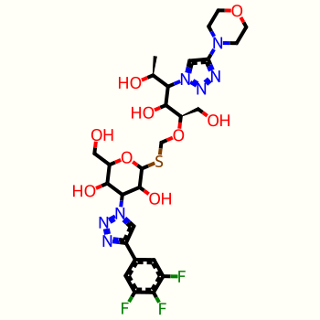 C[C@H](O)C(C(O)[C@@H](CO)OCSC1OC(CO)C(O)C(n2cc(-c3cc(F)c(F)c(F)c3)nn2)C1O)n1cc(N2CCOCC2)nn1